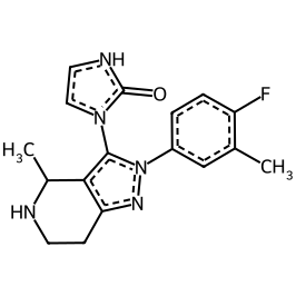 Cc1cc(-n2nc3c(c2-n2cc[nH]c2=O)C(C)NCC3)ccc1F